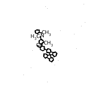 C=CC1=C(c2ccc(/C(C)=N/C(C)c3ccccc3)cc2C)C=C(c2ccc3c(c2)C2(c4ccccc4-c4ccccc42)c2ccccc2-3)CC1